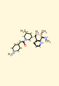 C=C(c1cccnc1/C(=N\C)OC)[C@H]1C[C@@H](C)CN(C(=O)CC2CCN(C)CC2)C1